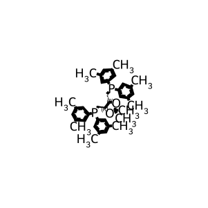 Cc1cc(C)cc(P(C[C@@H]2OC(C)(C)O[C@H]2CP(c2cc(C)cc(C)c2)c2cc(C)cc(C)c2)c2cc(C)cc(C)c2)c1